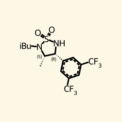 CCC(C)N1[C@@H](C)[C@@H](c2cc(C(F)(F)F)cc(C(F)(F)F)c2)NS1(=O)=O